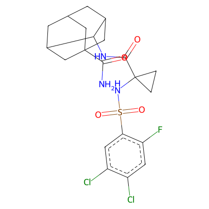 NC(=O)C12CC3CC(C1)C(NC(=O)C1(NS(=O)(=O)c4cc(Cl)c(Cl)cc4F)CC1)C(C3)C2